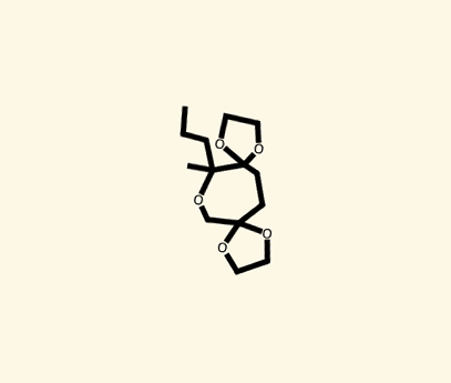 CCCC1(C)OCC2(CCC13OCCO3)OCCO2